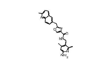 Cc1ccc2cc(Cc3nc(C(=O)NCc4c(C)cc(N)nc4C)co3)ccc2n1